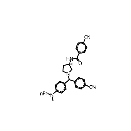 CCCN(C)c1ccc(C(c2ccc(C#N)cc2)N2CC[C@@H](NC(=O)c3ccc(C#N)cc3)C2)cc1